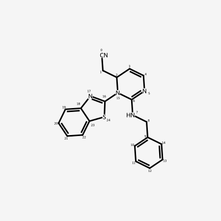 N#CCC1C=CN=C(NCc2ccccc2)N1c1nc2ccccc2s1